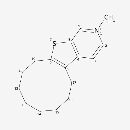 C[n+]1ccc2c3c(sc2c1)CCCCCCCC3